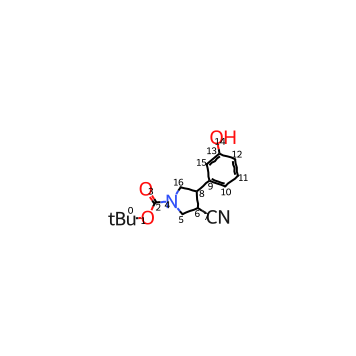 CC(C)(C)OC(=O)N1CC(C#N)C(c2cccc(O)c2)C1